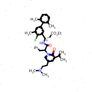 C=C(C)c1cc(CCN(C)C)cn(C(CC(C)C)C(=O)N[C@@H](CC(=O)OCC)c2cc(-c3c(C)cccc3C)cc(C)c2F)c1=O